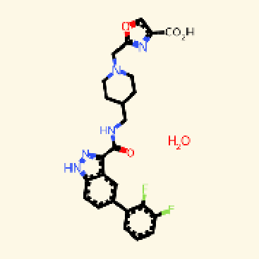 O.O=C(O)c1coc(CN2CCC(CNC(=O)c3n[nH]c4ccc(-c5cccc(F)c5F)cc34)CC2)n1